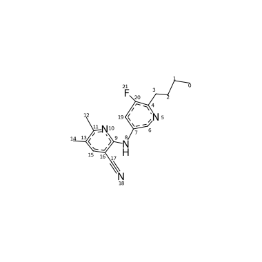 CCCCc1ncc(Nc2nc(C)c(C)cc2C#N)cc1F